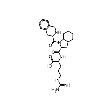 N=C(N)NCCC[C@H](NC(=O)[C@@H]1CC2CCCCC2N1C(=O)[C@H]1Cc2ccccc2CN1)C(=O)O